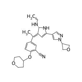 C=CN[C@@H]1NC(c2cnn(C3COC3)c2)=C/C1=C(/C)c1ccc(OC2CCOCC2)c(C#N)c1